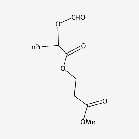 CCCC(O[C]=O)C(=O)OCCC(=O)OC